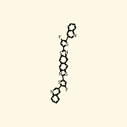 Fc1cc(-c2nc3cc4cc5sc(-c6cc(F)c(-c7cnc8ccccc8c7)s6)nc5cc4cc3s2)sc1-c1cnc2ccccc2c1